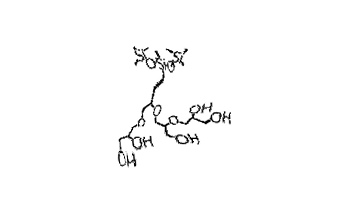 C[Si](C)(C)O[Si](C)(CCC(COCC(O)CO)OCC(CO)OCC(O)CO)O[Si](C)(C)C